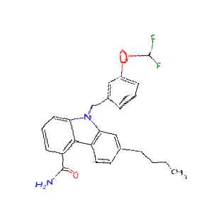 CCCCc1c[c]c2c3c(C(N)=O)cccc3n(Cc3cccc(OC(F)F)c3)c2c1